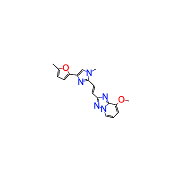 COc1cccn2nc(C=Cc3nc(-c4ccc(C)o4)cn3C)nc12